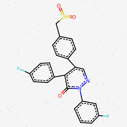 O=c1c(-c2ccc(F)cc2)c(-c2ccc(C[SH](=O)=O)cc2)cnn1-c1cccc(F)c1